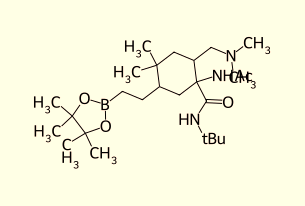 CC(=O)NC1(C(=O)NC(C)(C)C)CC(CCB2OC(C)(C)C(C)(C)O2)C(C)(C)CC1CN(C)C